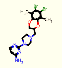 Cc1c(Br)c(Br)c(C)c2c1OCC(CN1CCN(c3nccc(N)n3)CC1)O2